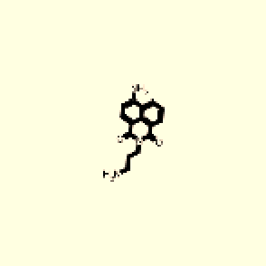 NCCCN1C(=O)c2cccc3c(N)ccc(c23)C1=O